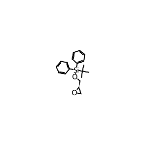 CC(C)(C)[Si](OC[C@H]1CO1)(c1ccccc1)c1ccccc1